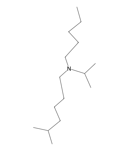 CCCCCN(CCCCC(C)C)C(C)C